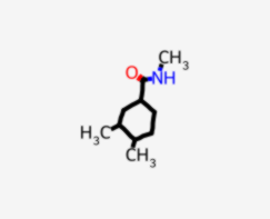 CNC(=O)C1CCC(C)C(C)C1